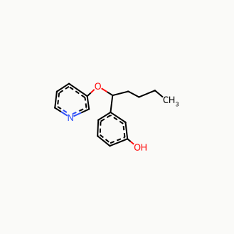 CCCCC(Oc1cccnc1)c1cccc(O)c1